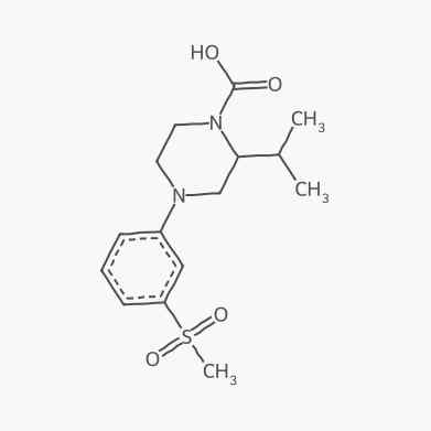 CC(C)C1CN(c2cccc(S(C)(=O)=O)c2)CCN1C(=O)O